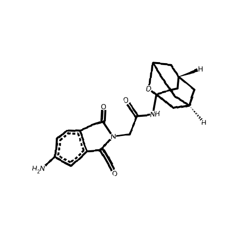 Nc1ccc2c(c1)C(=O)N(CC(=O)NC13C[C@@H]4CC(C[C@@H](C4)C1)O3)C2=O